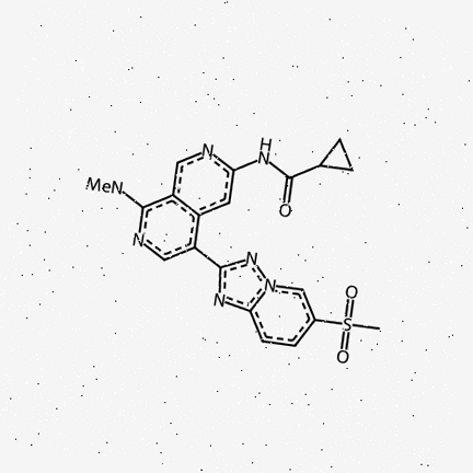 CNc1ncc(-c2nc3ccc(S(C)(=O)=O)cn3n2)c2cc(NC(=O)C3CC3)ncc12